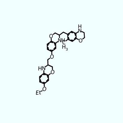 CCOc1ccc2c(c1)OCC(COc1ccc3c(c1)NC(Cc1cc4c(cc1C)OCCN4)CO3)N2